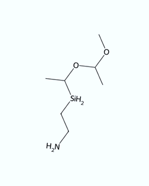 COC(C)OC(C)[SiH2]CCN